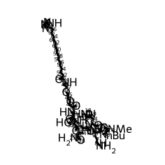 CCCC[C@H](NC(=O)[C@H](CCCN)NC(=O)[C@H](Cc1c[nH]cn1)NC(=O)[C@H](CCC(N)=O)NC(=O)[C@H](CO)NC(=O)CNC(=O)COCCOCCNC(=O)CCCCCCCCCCCCCCCc1nnn[nH]1)C(=O)NC